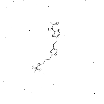 CC(=O)Nc1nc(CCc2csc(CCCOS(C)(=O)=O)c2)cs1